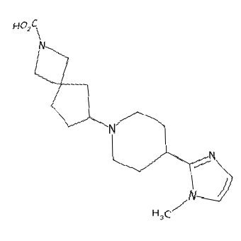 Cn1ccnc1C1CCN(C2CCC3(C2)CN(C(=O)O)C3)CC1